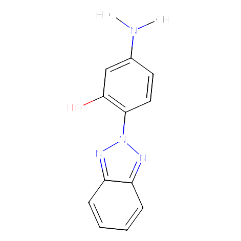 CN(C)c1ccc(-n2nc3ccccc3n2)c(O)c1